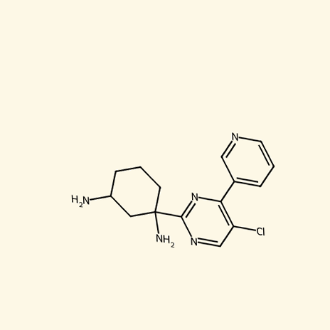 NC1CCCC(N)(c2ncc(Cl)c(-c3cccnc3)n2)C1